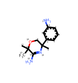 CC1(c2cccc(N)c2)COC(C)(C(F)(F)F)C(N)=N1